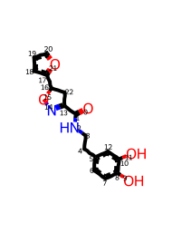 O=C(NCCc1ccc(O)c(O)c1)C1=NOC(c2ccco2)C1